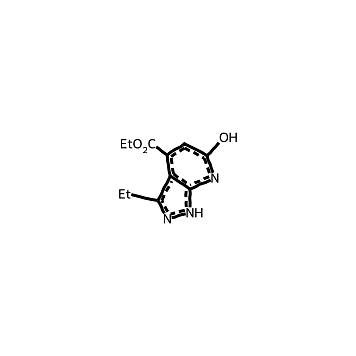 CCOC(=O)c1cc(O)nc2[nH]nc(CC)c12